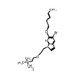 CCCCCOc1nc2c(ccn2COCC[Si](C)(C)C)cc1Br